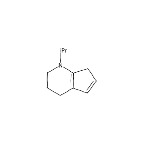 CC(C)N1CCCC2=C1CC=C2